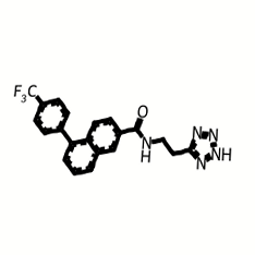 O=C(NCCc1nn[nH]n1)c1ccc2c(-c3ccc(C(F)(F)F)cc3)cccc2c1